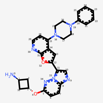 N[C@H]1C[C@H](Oc2ccc3ncc(-c4cc5c(N6CCN(c7ccccc7)CC6)ccnc5o4)n3n2)C1